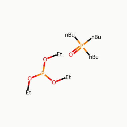 CCCCP(=O)(CCCC)CCCC.CCOP(OCC)OCC